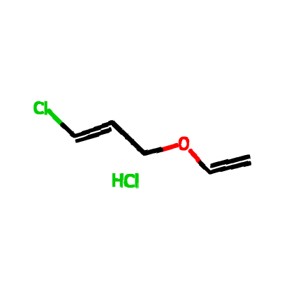 C=COCC=CCl.Cl